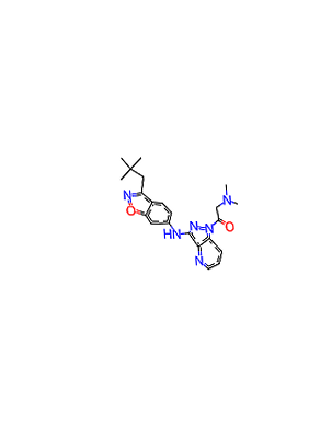 CN(C)CC(=O)n1nc(Nc2ccc3c(CC(C)(C)C)noc3c2)c2ncccc21